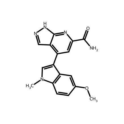 COc1ccc2c(c1)c(-c1cc(C(N)=O)nc3[nH]ncc13)cn2C